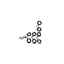 C=O.O.O.c1ccc(Oc2ccccc2)cc1.c1ccc(Oc2ccccc2)cc1.c1ccc(Oc2ccccc2)cc1.c1ccc(Oc2ccccc2)cc1